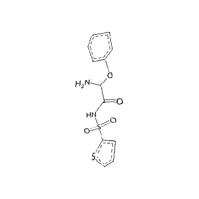 NC(Oc1ccccc1)C(=O)NS(=O)(=O)c1cccs1